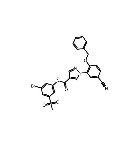 CS(=O)(=O)c1cc(Br)cc(NC(=O)c2cnn(-c3cc(C#N)ccc3OCc3ccccc3)c2)c1